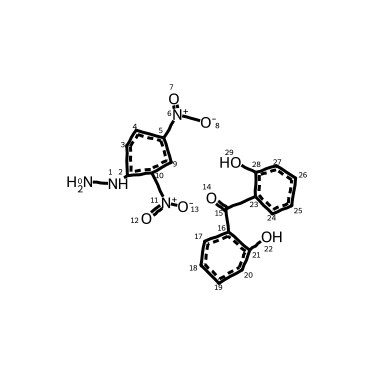 NNc1ccc([N+](=O)[O-])cc1[N+](=O)[O-].O=C(c1ccccc1O)c1ccccc1O